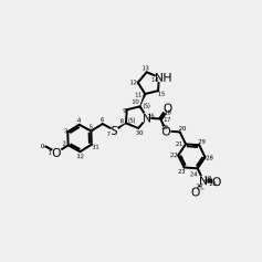 COc1ccc(CS[C@H]2C[C@@H](C3CCNC3)N(C(=O)OCc3ccc([N+](=O)[O-])cc3)C2)cc1